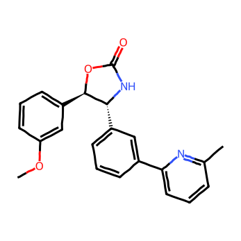 COc1cccc([C@H]2OC(=O)N[C@@H]2c2cccc(-c3cccc(C)n3)c2)c1